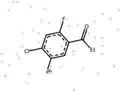 CCC(=O)c1cc(C(C)C)c(Cl)cc1F